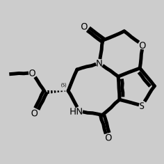 COC(=O)[C@@H]1CN2C(=O)COc3csc(c32)C(=O)N1